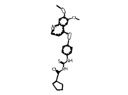 COc1cc2nccc(Oc3ccc(NC(=S)NC(=O)C4CCCC4)cc3)c2cc1OC